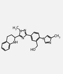 Cc1cn(-c2ccc(-c3nc(C4CCc5ccccc5N4)n(C)n3)cc2CO)cn1